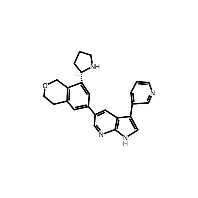 c1cncc(-c2c[nH]c3ncc(-c4cc5c(c([C@@H]6CCCN6)c4)COCC5)cc23)c1